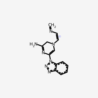 C=N/C=C\N1C=C(n2nnc3ccccc32)N=C(N)C1